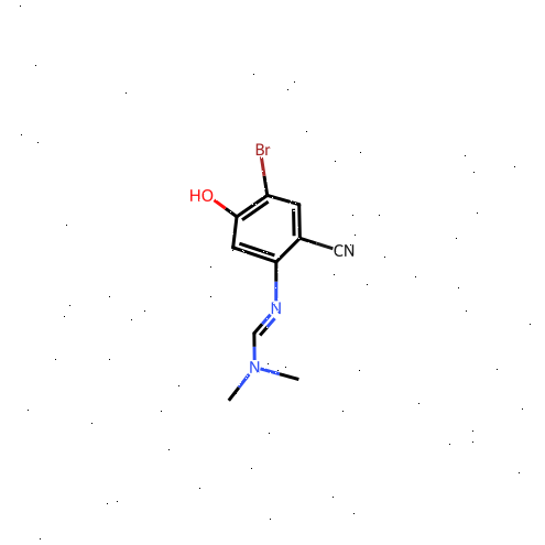 CN(C)C=Nc1cc(O)c(Br)cc1C#N